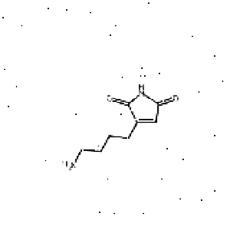 NCCCCC1=CC(=O)NC1=O